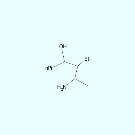 CCCC(O)C(CC)C(C)N